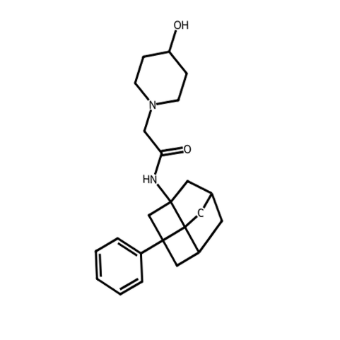 O=C(CN1CCC(O)CC1)NC12CC3CC4CC(c5ccccc5)(C1)C42C3